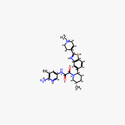 CCc1cc(NC(=O)C(=O)N2C[C@@H](C)CC[C@@H]2c2ccc3sc(C4=CCN(C)CC4)nc3c2)cnc1N